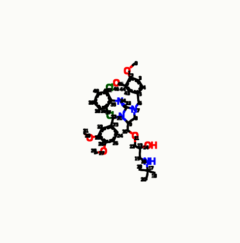 COc1ccc(CN2CC(COCC(O)CNC(C)(C)C)N(Cc3ccc(OC)c(OC)c3)C2=Nc2c(Cl)cccc2Cl)cc1OC